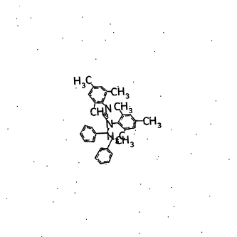 Cc1cc(C)c(/N=C/N(c2c(C)cc(C)cc2C)[C@H](c2ccccc2)[C@H](C)c2ccccc2)c(C)c1